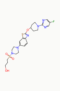 O=S(=O)(CCCO)N1CCN(c2ccc3nc(OC4CCN(c5ncc(F)cn5)CC4)sc3c2)CC1